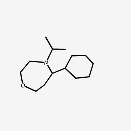 CC(C)N1CCOCCC1C1CCCCC1